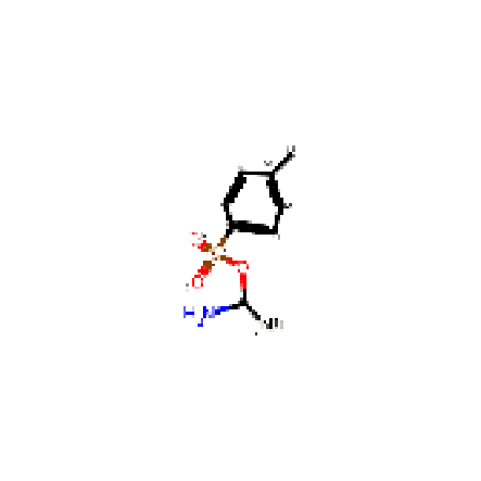 CCCCC(N)OS(=O)(=O)c1ccc(C)cc1